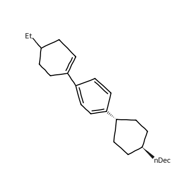 CCCCCCCCCC[C@H]1CC[C@H](c2ccc(C3=CCC(CC)CC3)cc2)CC1